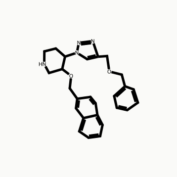 c1ccc(COCc2cn(C3CCNCC3OCc3ccc4ccccc4c3)nn2)cc1